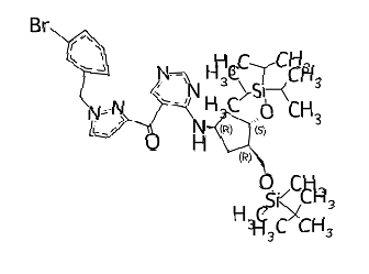 CC(C)[Si](O[C@H]1C[C@H](Nc2ncncc2C(=O)c2ccn(Cc3cccc(Br)c3)n2)C[C@@H]1CO[Si](C)(C)C(C)(C)C)(C(C)C)C(C)C